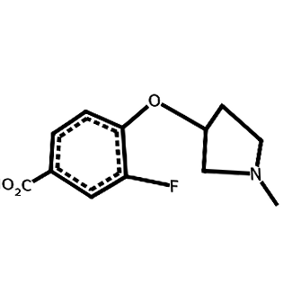 CN1CCC(Oc2ccc(C(=O)O)cc2F)C1